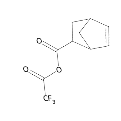 O=C(OC(=O)C(F)(F)F)C1CC2C=CC1C2